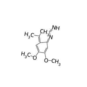 COC1=CC(=C(C)C)/C(=N\C=N)C=C1OC